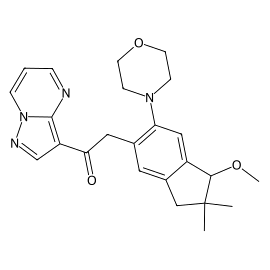 COC1c2cc(N3CCOCC3)c(CC(=O)c3cnn4cccnc34)cc2CC1(C)C